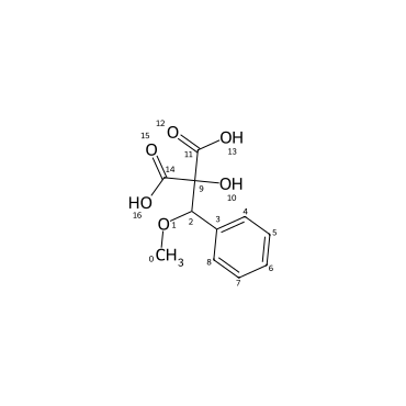 COC(c1ccccc1)C(O)(C(=O)O)C(=O)O